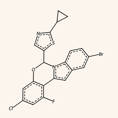 Fc1cc(Cl)cc2c1-c1cc3cc(Br)ccc3n1C(c1cnc(C3CC3)s1)O2